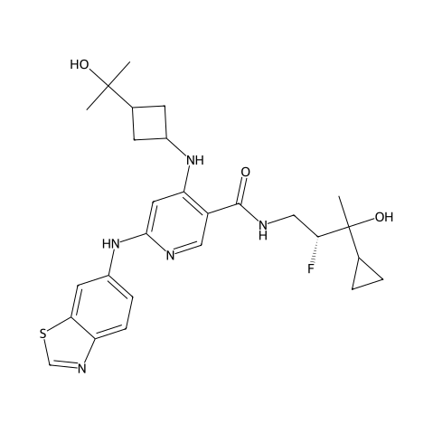 CC(C)(O)C1CC(Nc2cc(Nc3ccc4ncsc4c3)ncc2C(=O)NC[C@@H](F)C(C)(O)C2CC2)C1